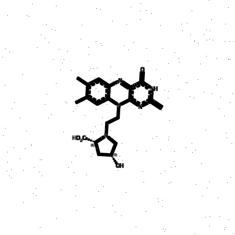 C=c1nc2c(c(=O)[nH]1)=Nc1cc(C)c(C)cc1N2CCN1C[C@H](O)C[C@@H]1C(=O)O